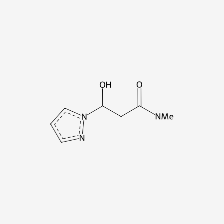 CNC(=O)CC(O)n1cccn1